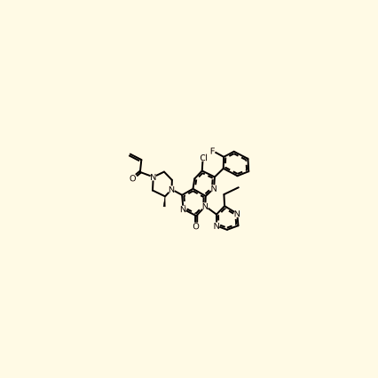 C=CC(=O)N1CCN(c2nc(=O)n(-c3nccnc3CC)c3nc(-c4ccccc4F)c(Cl)cc23)[C@@H](C)C1